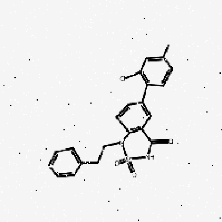 Cc1ccc(-c2ccc3c(c2)C(=O)NS(=O)(=O)N3CCc2ccccc2)c(Cl)c1